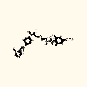 COc1cc(C)c(S(=O)(=O)N(C)CCOCC(=O)N(C)c2ccc(NCc3cncn3C)cc2)c(C)c1